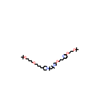 CC(C)(C)OCCCCCOCCCCCC1CCN(C(C)(C)CC(C)(C)N2CC(OCCCc3ccc(OCCCOC(C)(C)C)cn3)C2)CC1